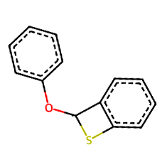 c1ccc(O[C]2Sc3ccccc32)cc1